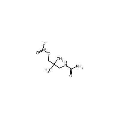 CC(C)(CNC(N)=O)CO[N+](=O)[O-]